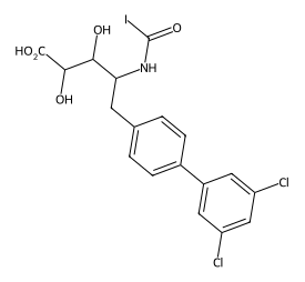 O=C(I)NC(Cc1ccc(-c2cc(Cl)cc(Cl)c2)cc1)C(O)C(O)C(=O)O